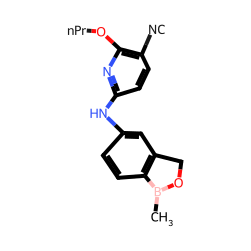 [C-]#[N+]c1ccc(Nc2ccc3c(c2)COB3C)nc1OCCC